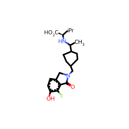 CC(N[C@@H](C(=O)O)C(C)C)C1CCC(CN2Cc3ccc(O)c(F)c3C2=O)CC1